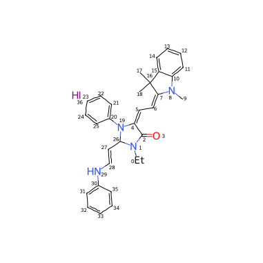 CCN1C(=O)C(=CC=C2N(C)c3ccccc3C2(C)C)N(c2ccccc2)C1C=CNc1ccccc1.I